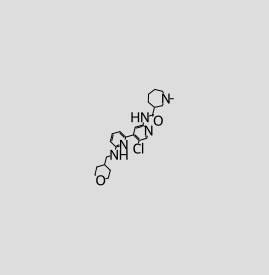 CN1CCCCC(C(=O)Nc2cc(-c3cccc(NCC4CCOCC4)n3)c(Cl)cn2)C1